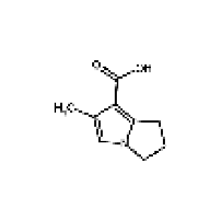 Cc1cn2c(c1C(=O)O)CCC2